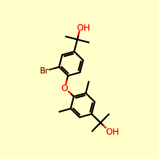 Cc1cc(C(C)(C)O)cc(C)c1Oc1ccc(C(C)(C)O)cc1Br